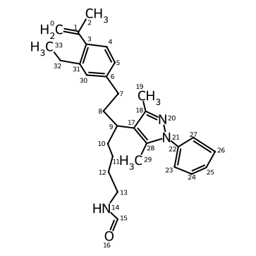 C=C(C)c1ccc(CCC(CCCCNC=O)c2c(C)nn(-c3ccccc3)c2C)cc1CC